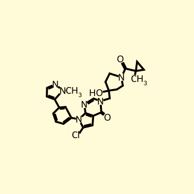 Cn1nccc1-c1cccc(-n2c(Cl)cc3c(=O)n(CC4(O)CCN(C(=O)C5(C)CC5)CC4)cnc32)c1